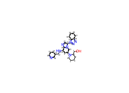 OCC1CCCCN1c1cc(NCc2cccnc2)c2ncc(-n3nnc4ccccc43)n2c1